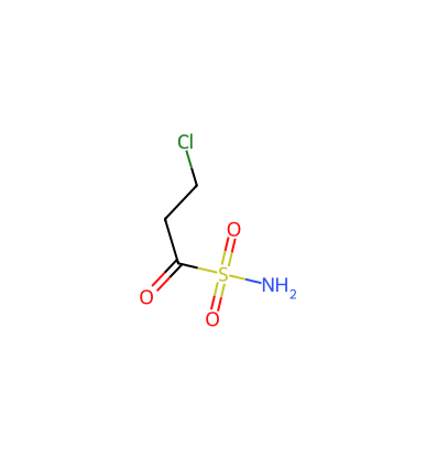 NS(=O)(=O)C(=O)CCCl